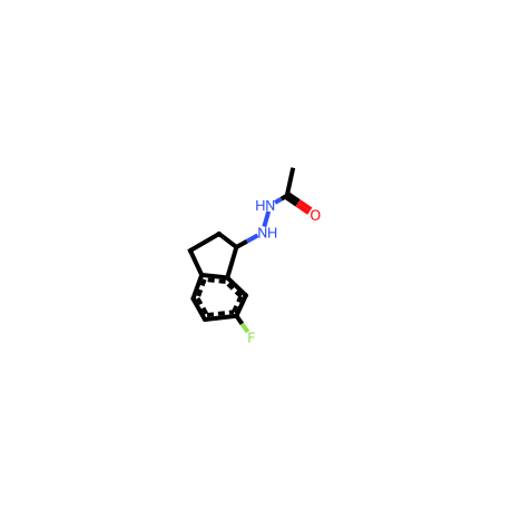 CC(=O)NNC1CCc2ccc(F)cc21